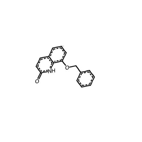 O=c1ccc2c[c]cc(OCc3ccccc3)c2[nH]1